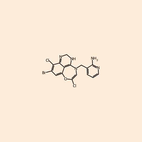 Nc1ncccc1CN1C=C(Cl)Oc2cc(Br)c(Cl)c3c2=C1NCN=3